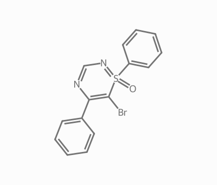 O=S1(c2ccccc2)=NC=NC(c2ccccc2)=C1Br